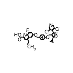 CCCc1cc(C(=O)O)nc2c(F)cc(OCC34CCC(OCc5c(-c6c(Cl)cncc6Cl)noc5C5CC5)(CC3)CC4)cc12